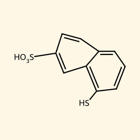 O=S(=O)(O)c1ccc2cccc(S)c2c1